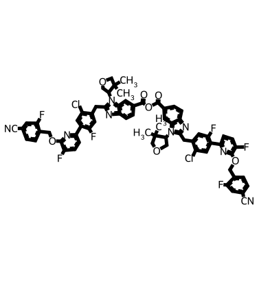 CC1(C)COCC1n1c(Cc2cc(F)c(-c3ccc(F)c(OCc4ccc(C#N)cc4F)n3)cc2Cl)nc2ccc(C(=O)OC(=O)c3ccc4nc(Cc5cc(F)c(-c6ccc(F)c(OCc7ccc(C#N)cc7F)n6)cc5Cl)n(C5COCC5(C)C)c4c3)cc21